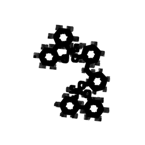 S=P1(Oc2ccccc2Cc2ccccc2OP2(=S)Oc3ccccc3-c3ccccc32)Oc2ccccc2-c2ccccc21